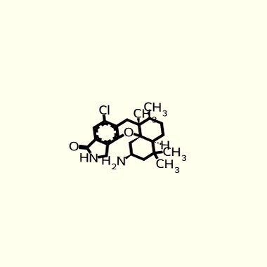 C[C@H]1CC[C@H]2C(C)(C)C[C@@H](N)C[C@]23Oc2c(c(Cl)cc4c2CNC4=O)C[C@]13C